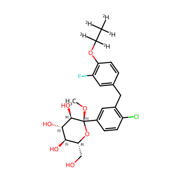 [2H]C([2H])([2H])C([2H])([2H])Oc1ccc(Cc2cc([C@]3(OC)O[C@H](CO)[C@@H](O)[C@H](O)[C@H]3O)ccc2Cl)cc1F